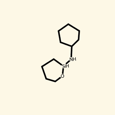 C1CCC(N[SiH]2CCCCO2)CC1